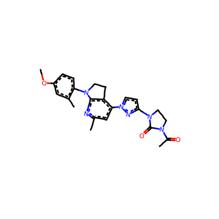 COc1ccc(N2CCc3c(-n4ccc(N5CCN(C(C)=O)C5=O)n4)cc(C)nc32)c(C)c1